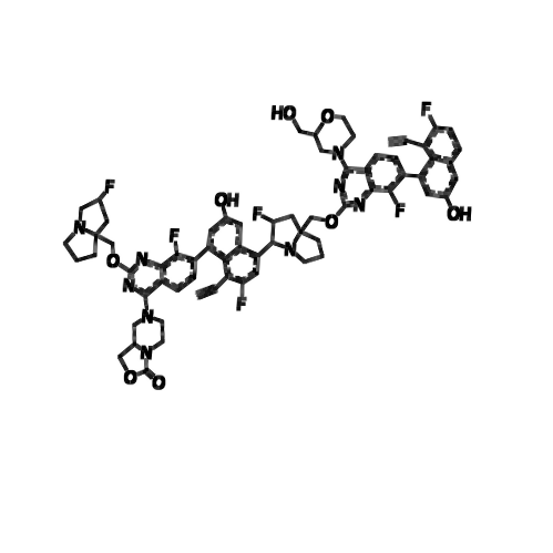 C#Cc1c(F)ccc2cc(O)cc(-c3ccc4c(N5CCOC(CO)C5)nc(OCC56CCCN5C(c5cc(F)c(C#C)c7c(-c8ccc9c(N%10CCN%11C(=O)OCC%11C%10)nc(OCC%10%11CCCN%10CC(F)C%11)nc9c8F)cc(O)cc57)C(F)C6)nc4c3F)c12